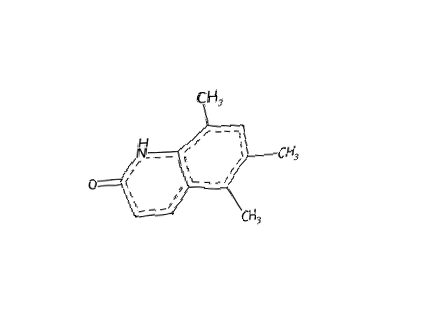 Cc1cc(C)c2[nH]c(=O)ccc2c1C